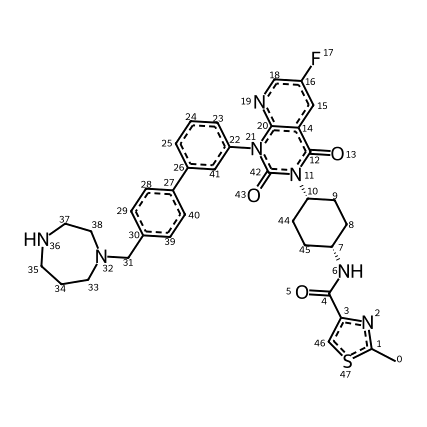 Cc1nc(C(=O)N[C@H]2CC[C@@H](n3c(=O)c4cc(F)cnc4n(-c4cccc(-c5ccc(CN6CCCNCC6)cc5)c4)c3=O)CC2)cs1